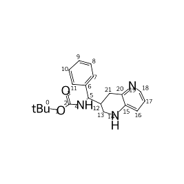 CC(C)(C)OC(=O)N[C@H](c1ccccc1)C1CNc2cccnc2C1